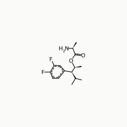 CC(C)[C@@H](c1ccc(F)c(F)c1)[C@H](C)OC(=O)[C@H](C)N